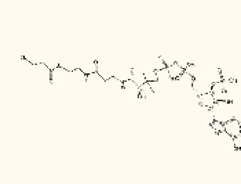 CC(C)(COP(=O)(O)OP(=O)(O)OC[C@H]1O[C@@H](n2cnc3c(N)ncnc32)[C@H](O)[C@@H]1OP(=O)(O)O)[C@@H](O)C(=O)NCCC(=O)NCCSC(=O)CCCl